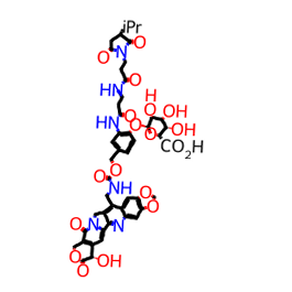 CC(C)C1CC(=O)N(CCC(=O)NCCC(=O)Nc2cc(COC(=O)NCc3c4c(nc5cc6c(cc35)OCO6)-c3cc5c(c(=O)n3C4)COC(=O)[C@H]5O)ccc2O[C@@H]2OC(C(=O)O)[C@@H](O)C(O)C2O)C1=O